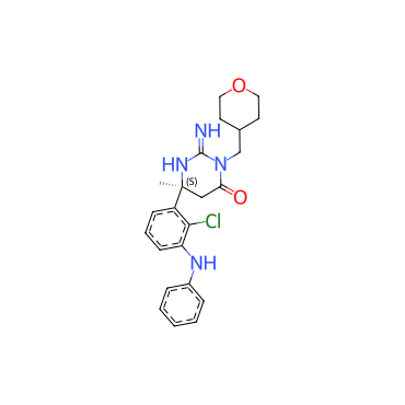 C[C@@]1(c2cccc(Nc3ccccc3)c2Cl)CC(=O)N(CC2CCOCC2)C(=N)N1